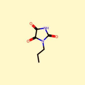 CCCN1C(=O)NC(=O)C1=O